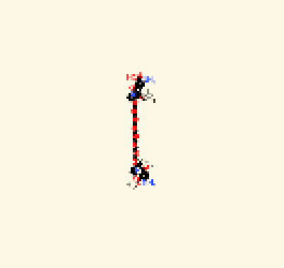 COC(=O)c1cc(C(=O)c2c(C)c(OCCOCCOCCOCCOCCOCCOCCOc3cccn4c(C(=O)c5ccc(N)c(C(=O)O)c5)c(C)c(OC)c34)c3ccccn23)ccc1N